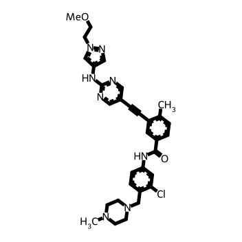 COCCn1cc(Nc2ncc(C#Cc3cc(C(=O)Nc4ccc(CN5CCN(C)CC5)c(Cl)c4)ccc3C)cn2)cn1